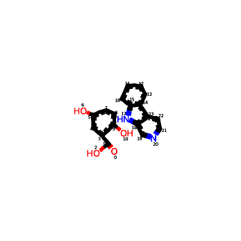 O=C(O)c1cc(O)ccc1O.c1ccc2c(c1)[nH]c1cnccc12